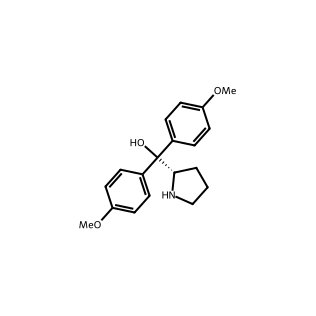 COc1ccc(C(O)(c2ccc(OC)cc2)[C@@H]2CCCN2)cc1